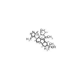 Cc1nnn(C)c1-c1cnc2c3ccc(C(C)(C)O)cc3n([C@H](C)C3CCOCC3)c2c1